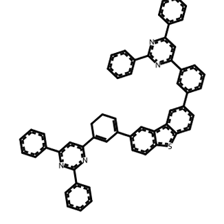 C1=C(c2ccc3sc4ccc(-c5cccc(-c6cc(-c7ccccc7)nc(-c7ccccc7)n6)c5)cc4c3c2)C=C(c2cc(-c3ccccc3)nc(-c3ccccc3)n2)CC1